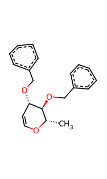 C[C@@H]1OC=C[C@H](OCc2ccccc2)[C@H]1OCc1ccccc1